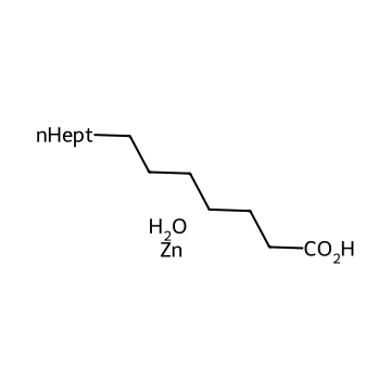 CCCCCCCCCCCCCC(=O)O.O.[Zn]